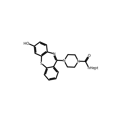 CCCCCCCC(=O)N1CCN(C2=Nc3ccc(O)cc3Sc3ccccc32)CC1